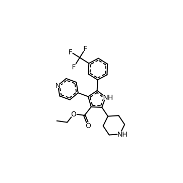 CCOC(=O)c1c(C2CCNCC2)[nH]c(-c2cccc(C(F)(F)F)c2)c1-c1ccncc1